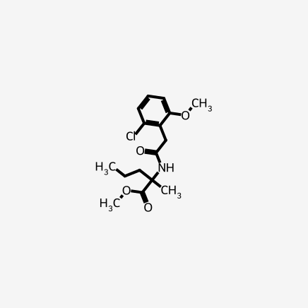 CCCC(C)(NC(=O)Cc1c(Cl)cccc1OC)C(=O)OC